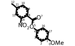 COc1ccc(OC(=O)c2ccc(C)cc2[N+](=O)[O-])cc1